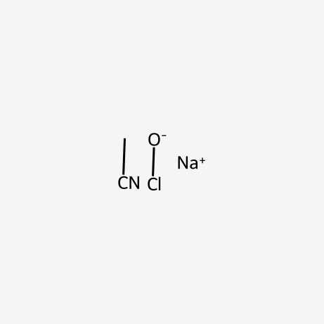 CC#N.[Na+].[O-]Cl